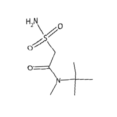 CN(C(=O)CS(N)(=O)=O)C(C)(C)C